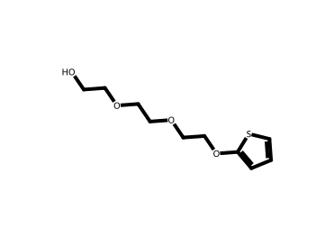 OCCOCCOCCOc1cccs1